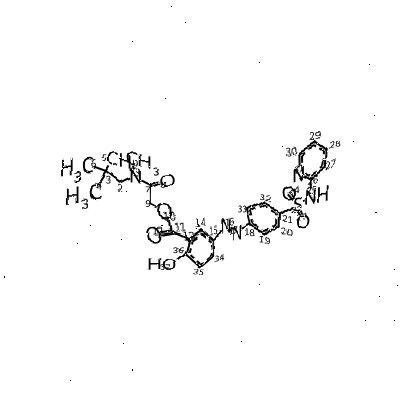 CN(CC(C)(C)C)C(=O)COC(=O)c1cc(N=Nc2ccc(S(=O)(=O)Nc3ccccn3)cc2)ccc1O